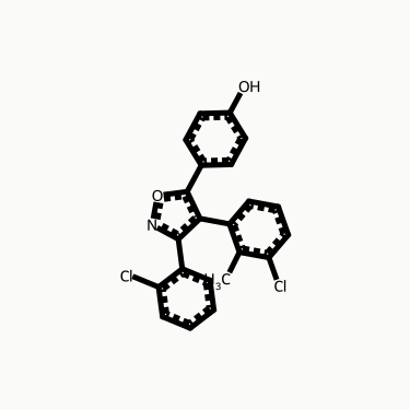 Cc1c(Cl)cccc1-c1c(-c2ccccc2Cl)noc1-c1ccc(O)cc1